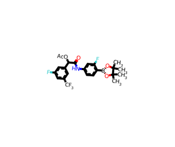 CC(=O)OC(C(=O)Nc1ccc(B2OC(C)(C)C(C)(C)O2)c(F)c1)c1cc(F)cc(C(F)(F)F)c1